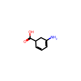 NC1=CC=CC(C(=O)O)C1